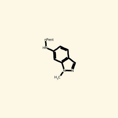 CCCCCNc1ccc2cnn(C)c2c1